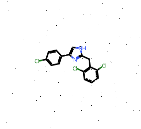 Clc1ccc(-c2c[nH]c(Cc3c(Cl)cccc3Cl)n2)cc1